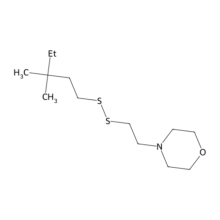 CCC(C)(C)CCSSCCN1CCOCC1